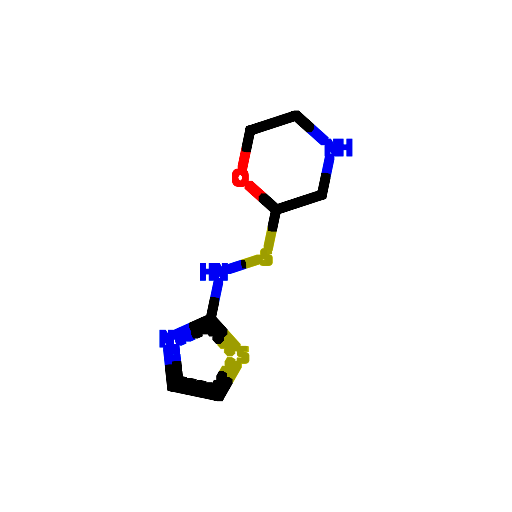 c1csc(NSC2CNCCO2)n1